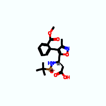 COC(=O)c1ccccc1-c1c(C)noc1[C@H](CC(=O)O)N[S@@+]([O-])C(C)(C)C